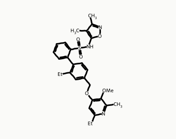 CCc1cc(OCc2ccc(-c3ccccc3S(=O)(=O)Nc3onc(C)c3C)c(CC)c2)c(OC)c(C)n1